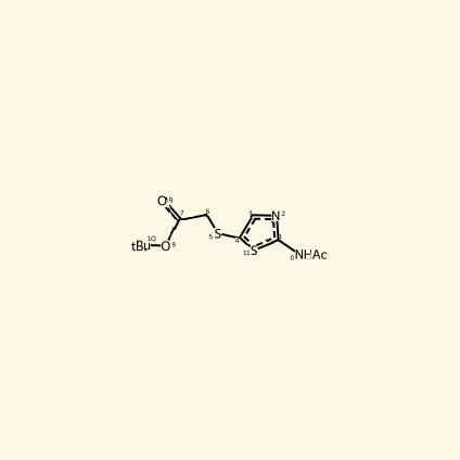 CC(=O)Nc1ncc(SCC(=O)OC(C)(C)C)s1